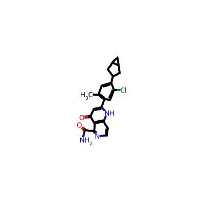 Cc1cc(C2CC3CC3C2)c(Cl)cc1-c1cc(=O)c2c(C(N)=O)nccc2[nH]1